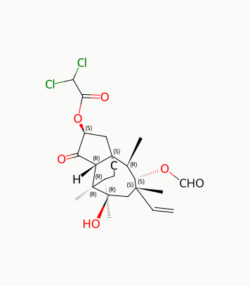 C=C[C@]1(C)C[C@@H](O)[C@]2(C)[C@H](C)CC[C@]3(C[C@H](OC(=O)C(Cl)Cl)C(=O)[C@H]32)[C@@H](C)[C@@H]1OC=O